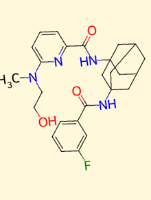 CN(CCO)c1cccc(C(=O)NC23CC4CC(CC(NC(=O)c5cccc(F)c5)(C4)C2)C3)n1